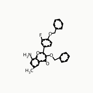 Cc1cc(N)c2oc(-c3ccc(OCc4ccccc4)c(F)c3)c(OCc3ccccc3)c(=O)c2c1